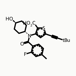 Cc1ccc(C(=O)N(c2cc(C#CC(C)(C)C)sc2C(=O)O)[C@H]2CC[C@H](O)CC2)c(F)c1